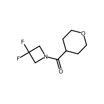 O=C([C]1CCOCC1)N1CC(F)(F)C1